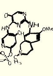 COc1cc2c(cc1Nc1ncc(Cl)c(Nc3cnc(OS(=O)(=O)F)cc3C)n1)CN(C)CC2